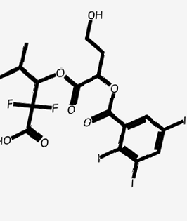 CC(C)C(OC(=O)C(CCO)OC(=O)c1cc(I)cc(I)c1I)C(F)(F)C(=O)O